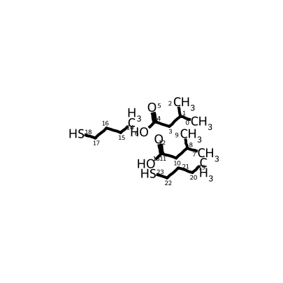 CC(C)CC(=O)O.CC(C)CC(=O)O.CCCCS.CCCCS